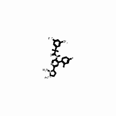 CC(=O)[C@H]1CCC(c2cc(-c3ccc(F)cc3C)c(N(C)C(=O)C(C)(C)c3cc(C(F)(F)F)cc(C(F)(F)F)c3)cn2)N1P